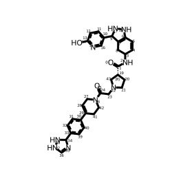 O=C(NC1C=CC2=C(C1)C(c1ccc(O)nc1)NN2)[C@@H]1CCN(CC(=O)N2CC=C(c3ccc(C4N=CNN4)cc3)CC2)C1